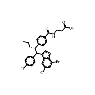 CCC[C@H](c1ccc(C(=O)NCCC(=O)O)cc1)C(c1ccc(Cl)cc1)c1csc2c(Br)cc(Cl)cc12